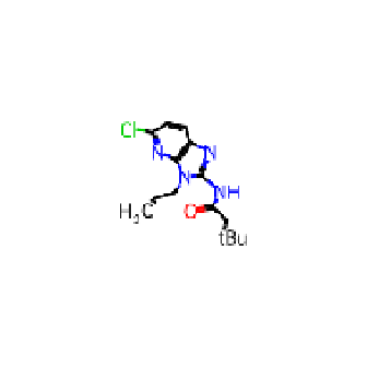 C=CCn1c(NC(=O)CC(C)(C)C)nc2ccc(Cl)nc21